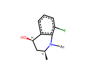 CC(=O)N1c2c(F)cccc2[C@H](O)C[C@@H]1C